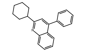 c1ccc(-c2cc(C3CCCCC3)nc3ccccc23)cc1